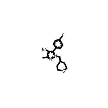 Cc1nn(CC2CCSCC2)c(-c2ccc(F)cc2)c1Br